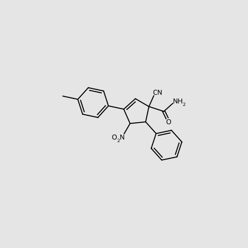 Cc1ccc(C2=CC(C#N)(C(N)=O)C(c3ccccc3)C2[N+](=O)[O-])cc1